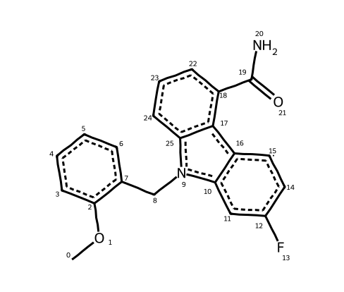 COc1ccccc1Cn1c2cc(F)c[c]c2c2c(C(N)=O)cccc21